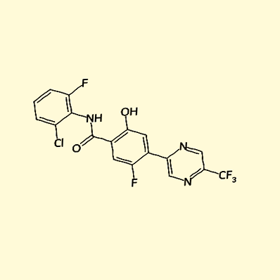 O=C(Nc1c(F)cccc1Cl)c1cc(F)c(-c2cnc(C(F)(F)F)cn2)cc1O